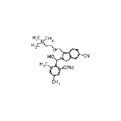 COc1cc(C)cc(C)c1C(O)N1Cc2cc(C#N)ccc2C1COCC[Si](C)(C)C